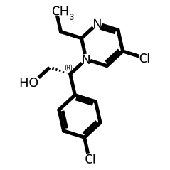 CCC1N=CC(Cl)=CN1[C@@H](CO)c1ccc(Cl)cc1